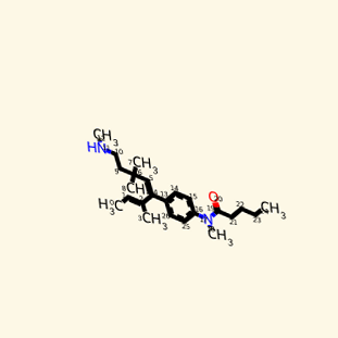 C/C=C(C)/C(=C\C(C)(C)CCNC)c1ccc(N(C)C(=O)CCCC)cc1